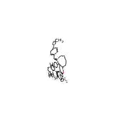 COc1ccc(C=C2CCCCC(CN(C)C)C2(O)c2ccccc2OC)cc1